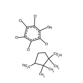 CC1(C(=O)O)CCC(C(=O)O)C1(C)C.Oc1c(Cl)c(Cl)c(Cl)c(Cl)c1Cl